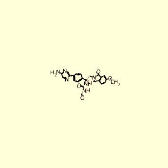 COc1ccc2c(c1)C(=O)N(C[C@H](NC(=O)NC=O)c1ccc(-c3cnc(N)cn3)cc1)C2